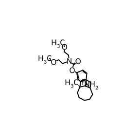 COCCN(CCOC)C(=O)Oc1ccc2c(c1)[C@@]1(C)CCCCCC(C2)[C@@H]1N